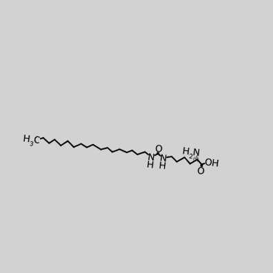 CCCCCCCCCCCCCCCCCCNC(=O)NCCCC[C@H](N)C(=O)O